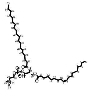 CCCCCCCC/C=C\CCCCCCCC(=O)OC[C@H](COP(=O)(O)OCC[N+](C)(C)C)OC(=O)CCCCCCCCCCCCCCCCCCC